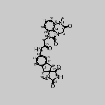 CN1C(=O)Cn2c(=O)n(CC(=O)Nc3ccc4c(c3)CC3(C4)C(=O)NC(=O)N3C)c3cccc1c32